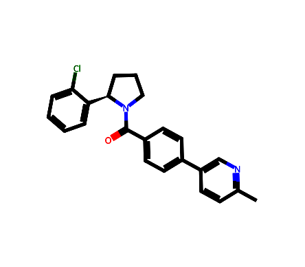 Cc1ccc(-c2ccc(C(=O)N3CCC[C@@H]3c3ccccc3Cl)cc2)cn1